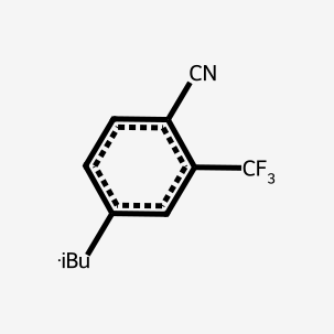 CC[C](C)c1ccc(C#N)c(C(F)(F)F)c1